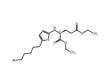 CCOC(=O)CC[C@H](Nc1ccc(CCCCCBr)s1)C(=O)OCC